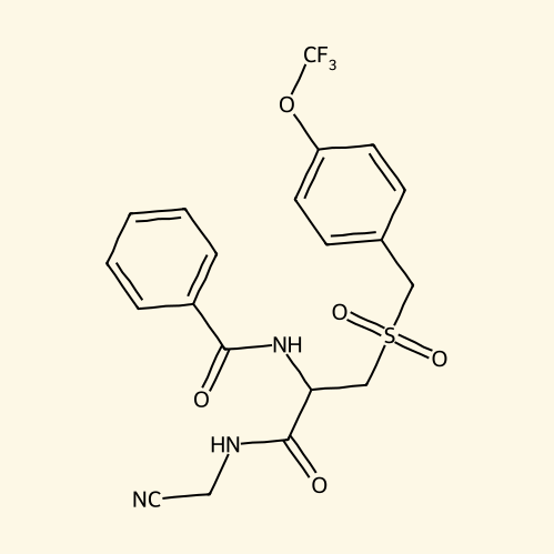 N#CCNC(=O)C(CS(=O)(=O)Cc1ccc(OC(F)(F)F)cc1)NC(=O)c1ccccc1